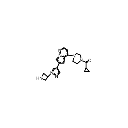 O=C(C1CC1)N1CCN(c2ccnn3cc(-c4cnn(C5CNC5)c4)cc23)CC1